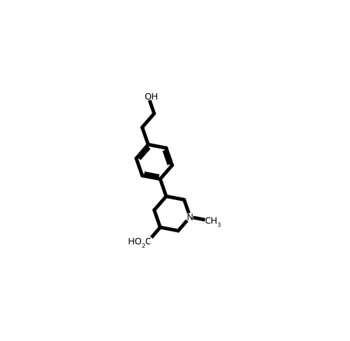 CN1CC(C(=O)O)CC(c2ccc(CCO)cc2)C1